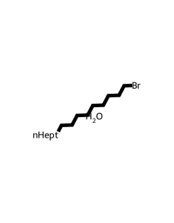 CCCCCCCCCCCCCCCCBr.O